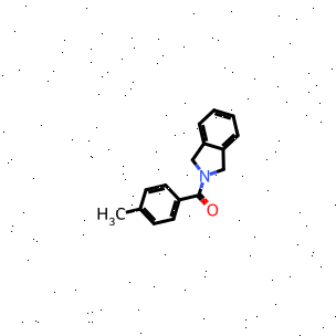 Cc1ccc(C(=O)N2Cc3ccccc3C2)cc1